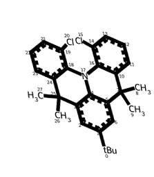 CC(C)(C)c1cc2c3c(c1)C(C)(C)c1cccc(Cl)c1N3c1c(Cl)cccc1C2(C)C